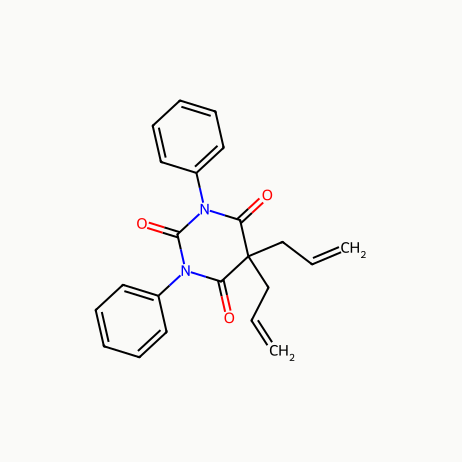 C=CCC1(CC=C)C(=O)N(c2ccccc2)C(=O)N(c2ccccc2)C1=O